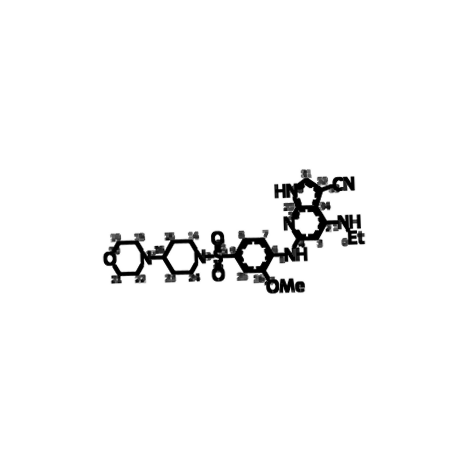 CCNc1cc(Nc2ccc(S(=O)(=O)N3CCC(N4CCOCC4)CC3)cc2OC)nc2[nH]cc(C#N)c12